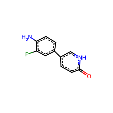 Nc1ccc(-c2ccc(=O)[nH]c2)cc1F